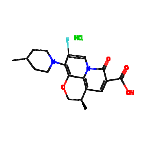 CC1CCN(c2c(F)cn3c(=O)c(C(=O)O)cc4c3c2OC[C@@H]4C)CC1.Cl